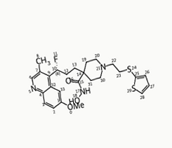 COc1ccc2ncc(C)c([C@H](F)CCC3(C(=O)NO)CCN(CCSc4cccs4)CC3)c2c1